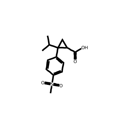 CC(C)C1(c2ccc(S(C)(=O)=O)cc2)CC1C(=O)O